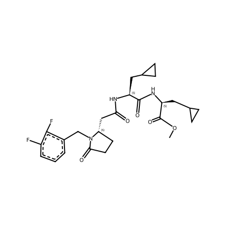 COC(=O)[C@H](CC1CC1)NC(=O)[C@H](CC1CC1)NC(=O)C[C@@H]1CCC(=O)N1Cc1cccc(F)c1F